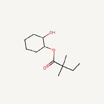 CCC(C)(C)C(=O)OC1CCCCC1O